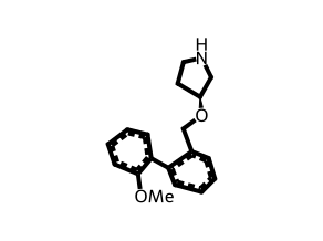 COc1ccccc1-c1ccccc1CO[C@H]1CCNC1